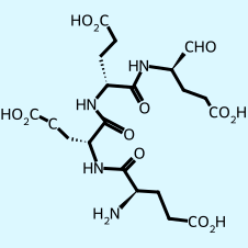 N[C@H](CCC(=O)O)C(=O)N[C@H](CCC(=O)O)C(=O)N[C@H](CCC(=O)O)C(=O)N[C@@H](C=O)CCC(=O)O